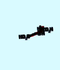 CC(=O)CC[C@H](NC(=O)C1CCC(CNC(=O)CCCCCCCCCCCCCCCCC(=O)O)CC1)C(=O)O